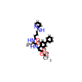 CC(C)[C@H](NC(=O)CCCNc1ccccn1)C(=O)NC(CC(=O)OC(=O)C(F)(F)F)c1ccc(-c2ccccc2)cc1